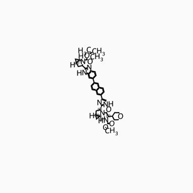 COC(=O)N[C@H](C(=O)N1[C@@H]2C[C@@H]2C[C@H]1c1nc(-c2ccc3cc(-c4ccc5nc(C6C[C@H]7C[C@H]7N6C(=O)OC(C)(C)C)[nH]c5c4)ccc3c2)c[nH]1)C1CCOCC1